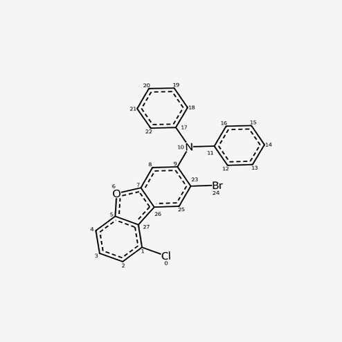 Clc1cccc2oc3cc(N(c4ccccc4)c4ccccc4)c(Br)cc3c12